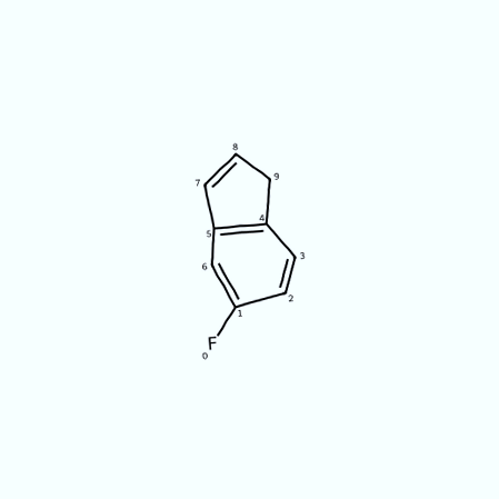 Fc1ccc2c(c1)C=CC2